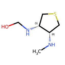 CN[C@H]1CSC[C@H]1NCO